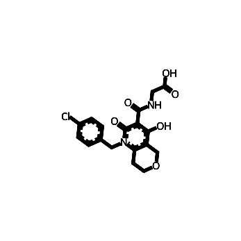 O=C(O)CNC(=O)c1c(O)c2c(n(Cc3ccc(Cl)cc3)c1=O)CCOC2